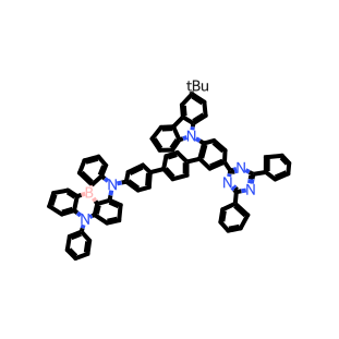 CC(C)(C)c1ccc2c(c1)c1ccccc1n2-c1ccc(-c2nc(-c3ccccc3)nc(-c3ccccc3)n2)cc1-c1ccc(-c2ccc(N3c4ccccc4B4c5ccccc5N(c5ccccc5)c5cccc3c54)cc2)cc1